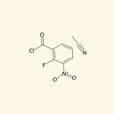 CC#N.O=C(Cl)c1cccc([N+](=O)[O-])c1F